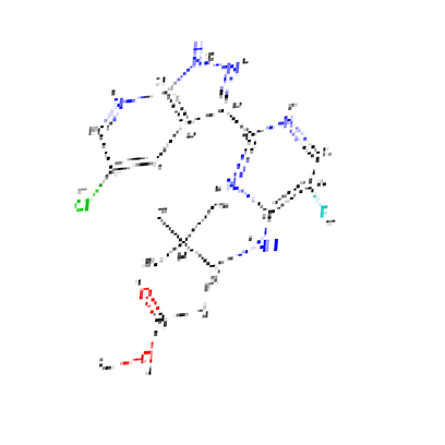 COC(=O)C[C@@H](Nc1nc(-c2n[nH]c3ncc(Cl)cc23)ncc1F)C(C)(C)C